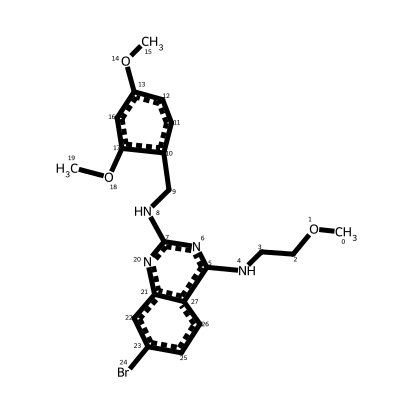 COCCNc1nc(NCc2ccc(OC)cc2OC)nc2cc(Br)ccc12